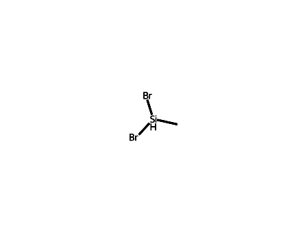 C[SiH](Br)Br